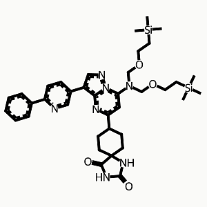 C[Si](C)(C)CCOCN(COCC[Si](C)(C)C)c1cc(C2CCC3(CC2)NC(=O)NC3=O)nc2c(-c3ccc(-c4ccccc4)nc3)cnn12